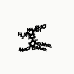 COc1cc(-c2cc3c(N)ncc(NC=O)c3s2)cc(OC)c1OC